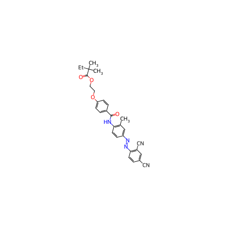 CCC(C)(C)C(=O)OCCOc1ccc(C(=O)Nc2ccc(/N=N/c3ccc(C#N)cc3C#N)cc2C)cc1